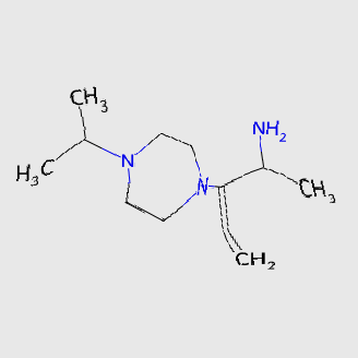 C=C(C(C)N)N1CCN(C(C)C)CC1